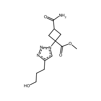 COC(=O)C1(n2cc(CCCO)nn2)CC(C(N)=O)C1